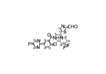 O=Cc1ncc(C(CNC(=O)c2cc(-c3ncc(F)cn3)ccc2Cl)N2CCC(F)(F)CC2)s1